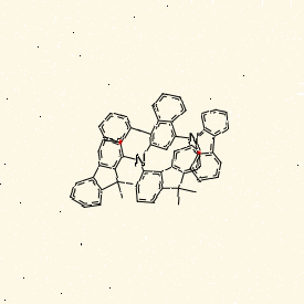 CC1(C)c2ccccc2-c2c(N(c3cccc4c3C(C)(C)c3ccccc3-4)c3cc(-n4c5ccccc5c5ccccc54)c4ccccc4c3-c3ccccc3)cccc21